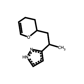 CC(CC1CCC=CO1)c1cc[nH]n1